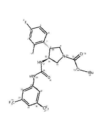 Cc1cc(F)ccc1[C@@H]1CN(C(=O)OC(C)(C)C)C[C@H]1NC(=O)Nc1cc(C(F)(F)F)cc(C(F)(F)F)c1